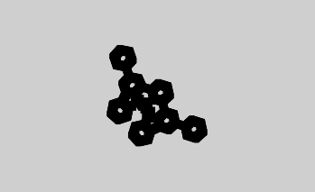 c1ccc(-c2cc3c4c(c2)c2ccccc2n4B2c4c-3cccc4-c3cc(-c4ccccc4)cc4c5ccccc5n2c34)cc1